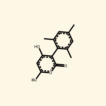 CCC(C)c1cc(O)c(-c2c(C)cc(C)cc2C)c(=O)o1